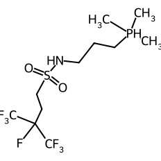 C[PH](C)(C)CCCNS(=O)(=O)CCC(F)(C(F)(F)F)C(F)(F)F